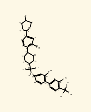 CC1COC(c2ccc(C3CCC(C(F)(F)Oc4ccc(-c5ccc(C(F)(F)F)c(F)c5)c(F)c4)CC3)c(F)c2)OC1